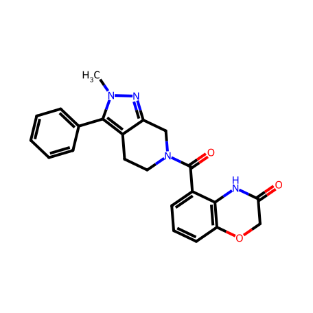 Cn1nc2c(c1-c1ccccc1)CCN(C(=O)c1cccc3c1NC(=O)CO3)C2